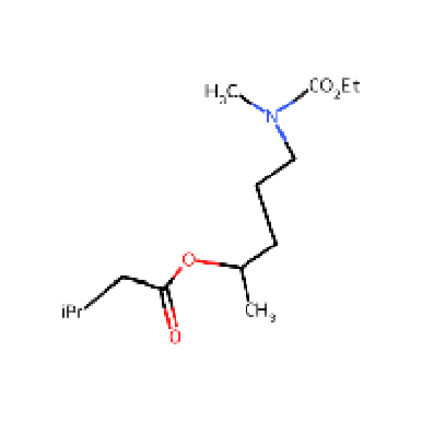 CCOC(=O)N(C)CCCC(C)OC(=O)CC(C)C